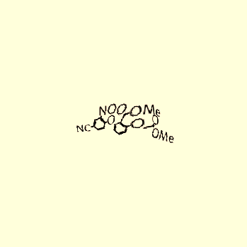 COC(=O)COc1cccc(Oc2ccc(C#N)cc2N=O)c1C(=O)OC